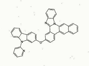 c1ccc(-n2c3ccccc3c3ccc(Oc4ccc5c6cc7ccccc7cc6n6c7ccccc7nc6c5c4)cc32)nc1